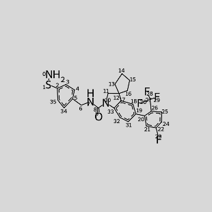 NSc1ccc(CNC(=O)N2CC3(CCCC3)c3cc(-c4cc(F)ccc4C(F)(F)F)ccc32)cc1